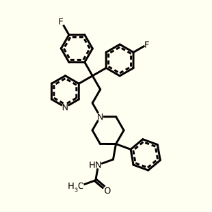 CC(=O)NCC1(c2ccccc2)CCN(CCC(c2ccc(F)cc2)(c2ccc(F)cc2)c2cccnc2)CC1